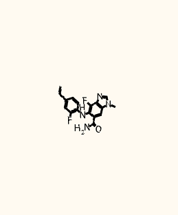 CCc1ccc(Nc2c(C(N)=O)cc3c(ncn3C)c2F)c(F)c1